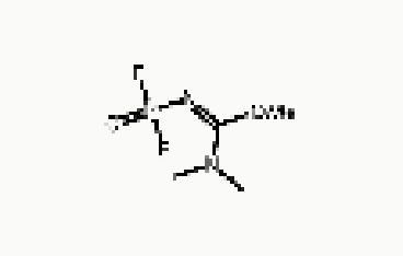 COC(=NP(=O)(F)F)N(C)C